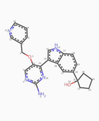 Nc1ncc(OCc2cccnc2)c(-c2c[nH]c3ccc(C4(O)CCCC4)cc23)n1